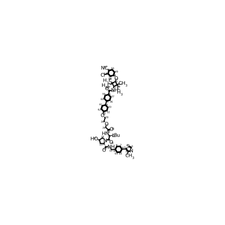 Cc1ncsc1-c1ccc(CNC(=O)[C@@H]2C[C@@H](O)CN2C(=O)[C@@H](NC(=O)COCCOc2ccc(-c3ccc(C(=O)NC4C(C)(C)C(Oc5ccc(C#N)c(Cl)c5)C4(C)C)cc3)cc2)C(C)(C)C)cc1